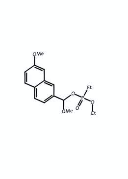 CCOP(=O)(CC)OC(OC)c1ccc2ccc(OC)cc2c1